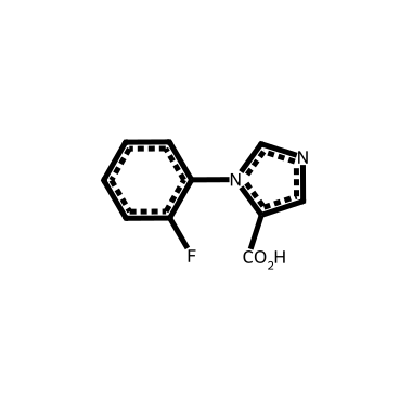 O=C(O)c1cncn1-c1ccccc1F